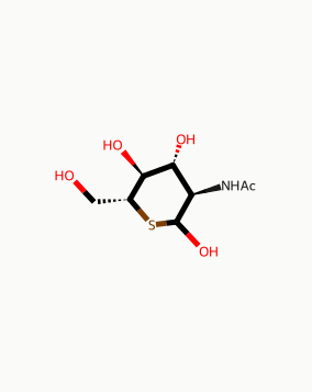 CC(=O)N[C@H]1C(O)S[C@H](CO)[C@@H](O)[C@@H]1O